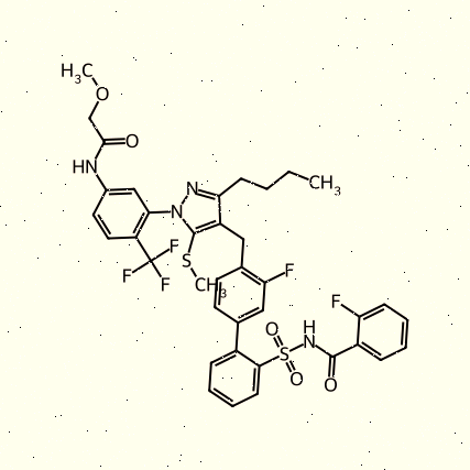 CCCCc1nn(-c2cc(NC(=O)COC)ccc2C(F)(F)F)c(SC)c1Cc1ccc(-c2ccccc2S(=O)(=O)NC(=O)c2ccccc2F)cc1F